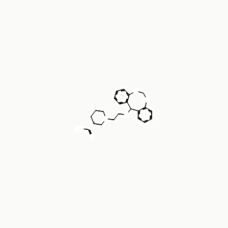 O=C(O)[C@@H]1CCCN(CCOC2c3ccccc3OCOc3ccccc32)C1